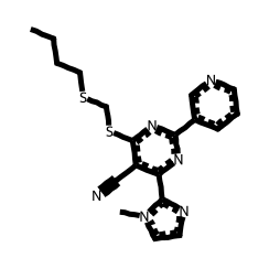 CCCCSCSc1nc(-c2cccnc2)nc(-c2nccn2C)c1C#N